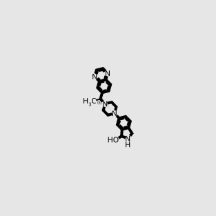 C[C@@H](c1ccc2nccnc2c1)N1CCN(c2ccc3c(c2)C(O)NC3)CC1